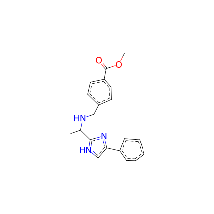 COC(=O)c1ccc(CNC(C)c2nc(-c3ccccc3)c[nH]2)cc1